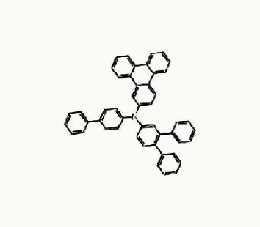 c1ccc(-c2ccc(N(c3ccc(-c4ccccc4)c(-c4ccccc4)c3)c3ccc4c5ccccc5c5ccccc5c4c3)cc2)cc1